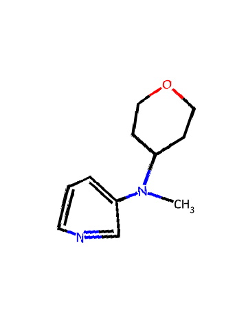 CN(c1cccnc1)C1CCOCC1